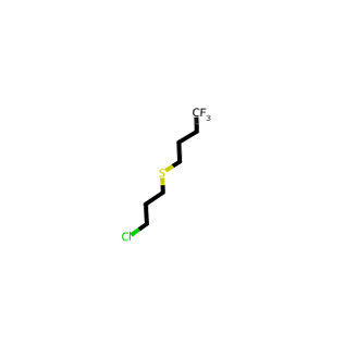 FC(F)(F)CCCSCCCCl